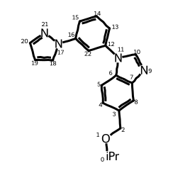 CC(C)OCc1ccc2c(c1)ncn2-c1cccc(-n2cccn2)c1